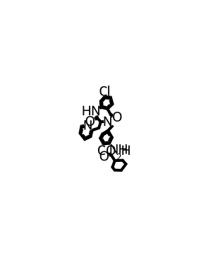 O=C(O)c1ccc(CN2C(=O)c3ccc(Cl)cc3NC(=O)C2Cc2ccccn2)cc1NC(=O)C1CCCCC1